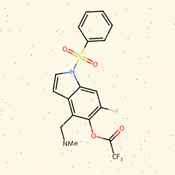 CNCc1c(OC(=O)C(F)(F)F)c(F)cc2c1ccn2S(=O)(=O)c1ccccc1